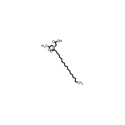 CCCCCCCCCCCCCCCCCC(=O)N(CC(=O)O)CC(C)O